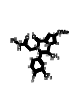 COc1cc2c(=O)n(CC(=O)NC(C)C)c(-c3ccc(F)c(C(F)(F)F)c3)c(C)n2c1